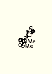 CO/N=C(/C(=O)OC)c1ccccc1CO/N=C\C[C@@H]1C[C@H]1c1c(Cl)cccc1Cl